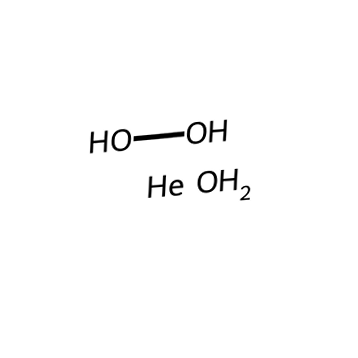 O.OO.[He]